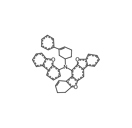 C1=Cc2c(oc3cc4c(oc5ccccc54)c(N(c4cccc5c4oc4ccccc45)C4CCC=C(c5ccccc5)C4)c23)CC1